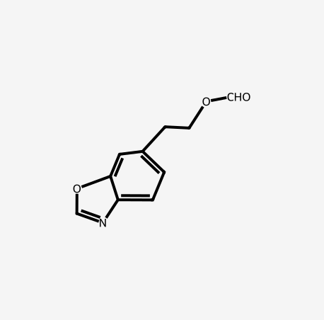 O=COCCc1ccc2ncoc2c1